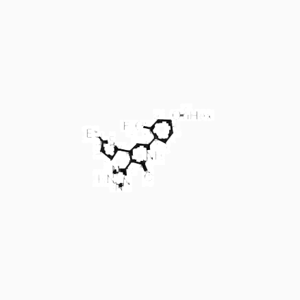 CCCCCCOc1ccc(-c2cc(-c3ccc(CC)s3)c(-c3nn[nH]n3)c(=O)[nH]2)c(C(F)(F)F)c1